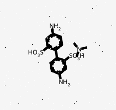 CN(C)C.Nc1ccc(-c2ccc(N)cc2S(=O)(=O)O)c(S(=O)(=O)O)c1